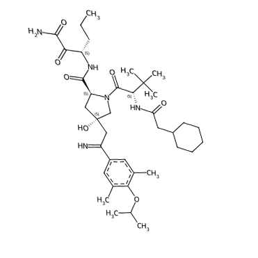 CCC[C@H](NC(=O)[C@@H]1C[C@](O)(CC(=N)c2cc(C)c(OC(C)C)c(C)c2)CN1C(=O)[C@@H](NC(=O)CC1CCCCC1)C(C)(C)C)C(=O)C(N)=O